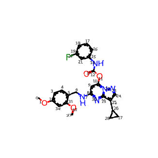 COc1ccc(CNc2cc(OC(=O)Nc3cccc(F)c3)n3ncc(C4CC4)c3n2)c(OC)c1